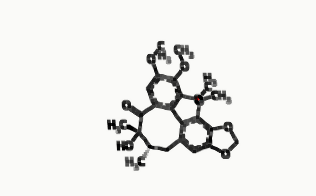 COc1cc2c(c(OC)c1OC)-c1c(cc3c(c1OC)OCO3)C[C@H](C)[C@](C)(O)C2=O